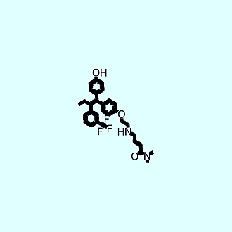 CC/C(=C(\c1ccc(O)cc1)c1ccc(OCCNC/C=C/C(=O)N(C)C)cc1)c1cccc(C(F)(F)F)c1